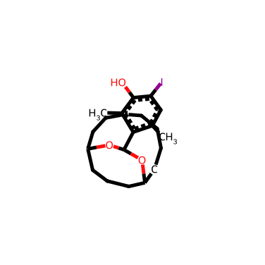 Cc1cc(I)c(O)c(C)c1C1OC2CCCCCCCC(CCC2)O1